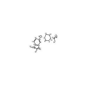 Cc1nc2cc(O[C@H]3CC[C@@H](C(C)=O)CC3)ccc2n1C